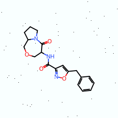 O=C(NC1COCC2CCCN2C1=O)c1cc(Cc2ccccc2)on1